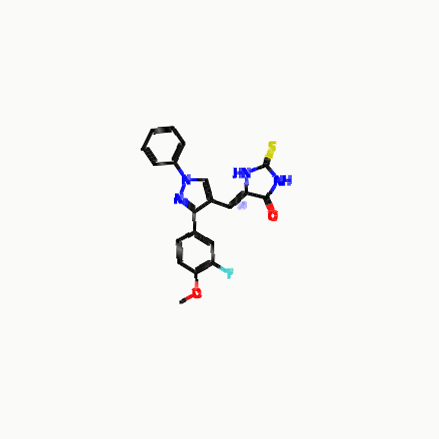 COc1ccc(-c2nn(-c3ccccc3)cc2/C=C2\NC(=S)NC2=O)cc1F